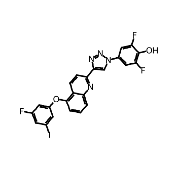 Oc1c(F)cc(-n2cc(-c3ccc4c(Oc5cc(F)cc(I)c5)cccc4n3)nn2)cc1F